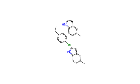 CCc1ccc(Br)cc1.Cc1ccc2[nH]ccc2c1.Cc1ccc2[nH]ccc2c1